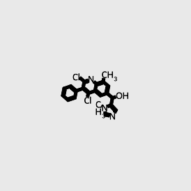 Cc1cc(C(O)c2cncn2C)cc2c(Cl)c(-c3ccccc3)c(Cl)nc12